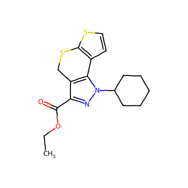 CCOC(=O)c1nn(C2CCCCC2)c2c1CSc1sccc1-2